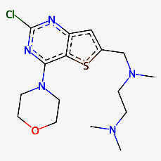 CN(C)CCN(C)Cc1cc2nc(Cl)nc(N3CCOCC3)c2s1